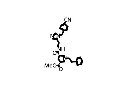 COC(=O)[C@H]1C[C@@H](C(=O)NCCc2cncn2Cc2ccc(C#N)cc2)CN(CCc2ccccc2)C1